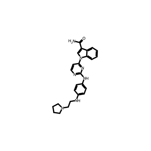 NC(=O)c1cn(-c2ccnc(Nc3ccc(NCCN4CCCC4)cc3)n2)c2ccccc12